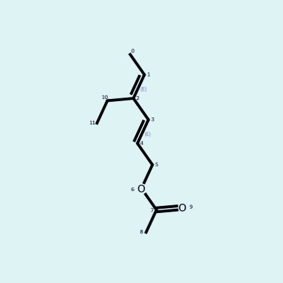 C/C=C(/C=C/COC(C)=O)CC